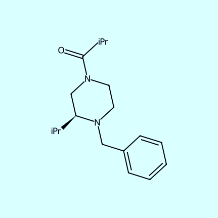 CC(C)C(=O)N1CCN(Cc2ccccc2)[C@@H](C(C)C)C1